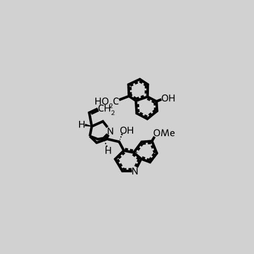 C=C[C@@H]1CN2CCC1C[C@@H]2[C@H](O)c1ccnc2ccc(OC)cc12.O=C(O)c1cccc2c(O)cccc12